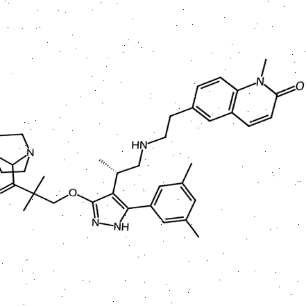 Cc1cc(C)cc(-c2[nH]nc(OCC(C)(C)C(=O)C3C4CCN3CC4)c2[C@H](C)CNCCc2ccc3c(ccc(=O)n3C)c2)c1